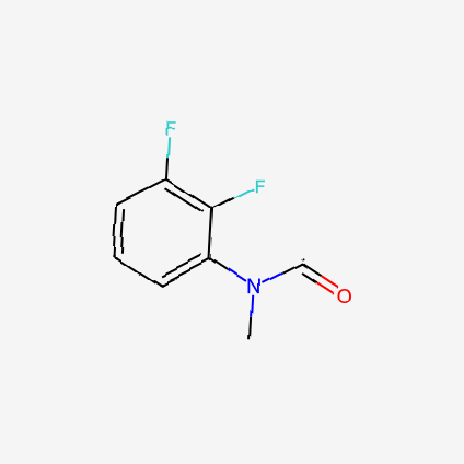 CN([C]=O)c1cccc(F)c1F